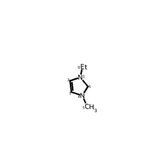 CCN1C=CN(C)C1